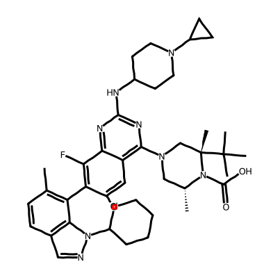 Cc1ccc2cnn(C3CCCCO3)c2c1-c1c(Cl)cc2c(N3C[C@@H](C)N(C(=O)O)[C@@](C)(C(C)(C)C)C3)nc(NC3CCN(C4CC4)CC3)nc2c1F